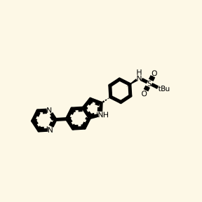 CC(C)(C)S(=O)(=O)N[C@H]1CC[C@H](c2cc3cc(-c4ncccn4)ccc3[nH]2)CC1